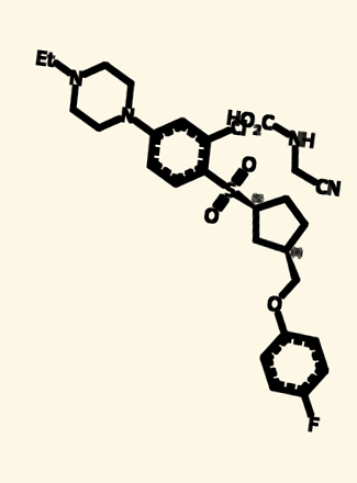 CCN1CCN(c2ccc(S(=O)(=O)[C@H]3CC[C@@H](COc4ccc(F)cc4)C3)c(Cl)c2)CC1.N#CCNC(=O)O